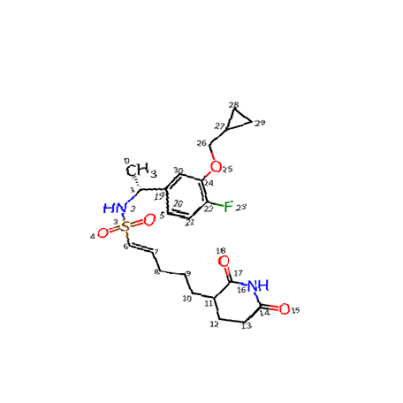 C[C@@H](NS(=O)(=O)/C=C/CCCC1CCC(=O)NC1=O)c1ccc(F)c(OCC2CC2)c1